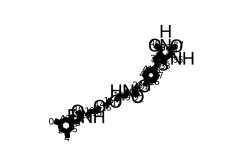 C=C1CC(C)CC(CC)(CC(=O)NCCOCCOCCNC(=O)COc2ccc(-c3cc4c(s3)C(=N)C(=O)NC4=O)cc2)C1